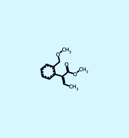 CC=C(C(=O)OC)c1ccccc1COC